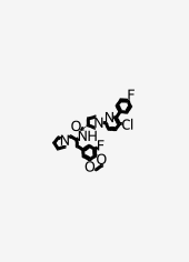 O=C(NC(Cc1cc(F)c2c(c1)OCCO2)CN1CCCC1)[C@@H]1CCN(c2ccc(Cl)c(-c3ccc(F)cc3)n2)C1